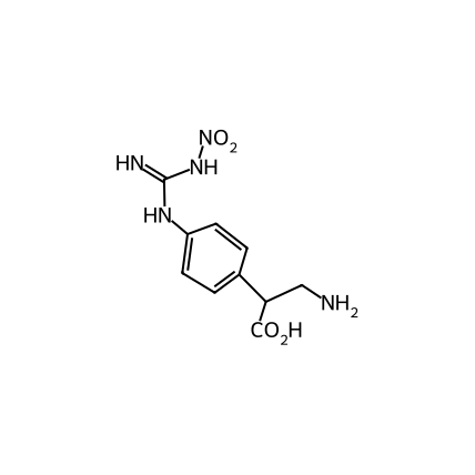 N=C(Nc1ccc(C(CN)C(=O)O)cc1)N[N+](=O)[O-]